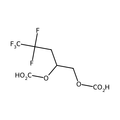 O=C(O)OCC(CC(F)(F)C(F)(F)F)OC(=O)O